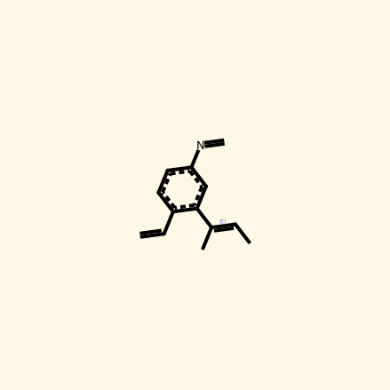 C=Cc1ccc(N=C)cc1/C(C)=C/C